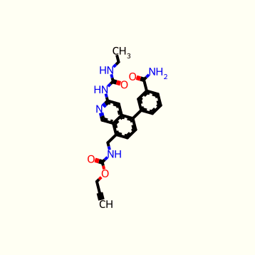 C#CCOC(=O)NCc1ccc(-c2cccc(C(N)=O)c2)c2cc(NC(=O)NCC)ncc12